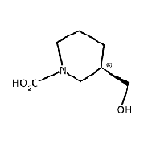 O=C(O)N1CCC[C@@H](CO)C1